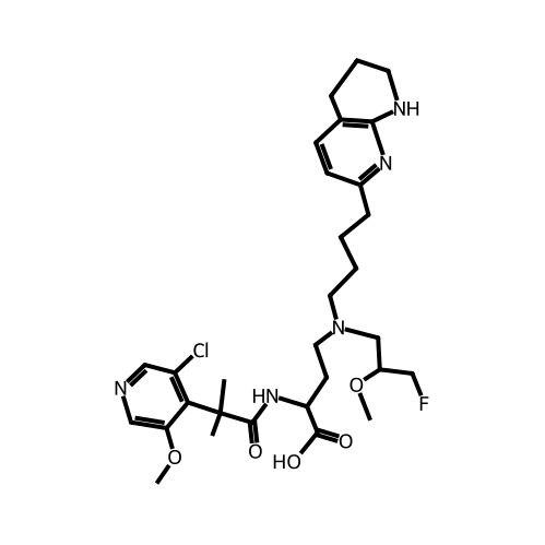 COc1cncc(Cl)c1C(C)(C)C(=O)NC(CCN(CCCCc1ccc2c(n1)NCCC2)CC(CF)OC)C(=O)O